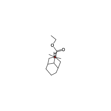 CCOC(=O)C(C)(C)C1C2CCCC1CNC2